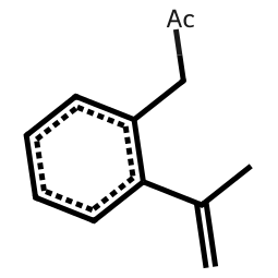 C=C(C)c1ccccc1CC(C)=O